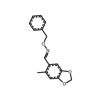 Cc1cc2c(cc1/C=N/OCc1ccccc1)OCO2